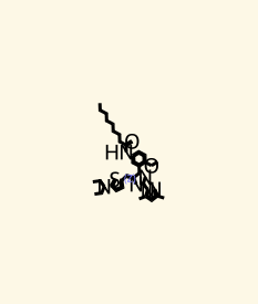 CCCCCCCCC(=O)Nc1ccc(OC)c(C2=NC(n3nc(C)cc3C)=N/C2=C\c2ccc(N(CC)CC)s2)c1